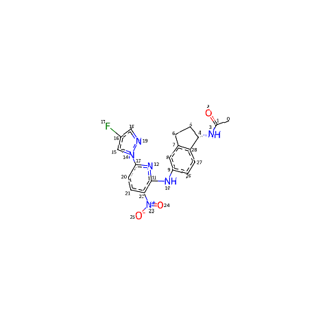 CC(=O)N[C@H]1CCc2cc(Nc3nc(-n4cc(F)cn4)ccc3[N+](=O)[O-])ccc21